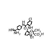 CCOc1cccc(CNc2ccc(Cl)cc2C(=O)Nc2ccc(C(=N)N)cc2)c1OC(C)CC(=O)O